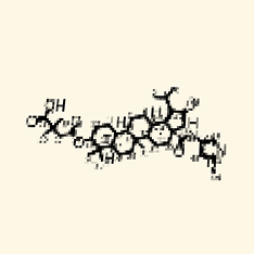 CC(C)C1=C2[C@H]3CC[C@@H]4[C@@]5(C)CC[C@H](OC(=O)CC(C)(C)C(=O)O)C(C)(C)[C@@H]5CC[C@@]4(C)[C@]3(C)CC[C@@]2(C(=O)Nc2cnn(C)c2)CC1=O